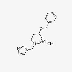 Cl.Cl.c1ccc(COC2CCN(Cn3ccnc3)CC2)cc1